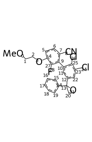 COCCOc1ccc(C#N)c(-c2cc(C3(c4ccccc4)CO3)cc(Cl)c2Cl)c1F